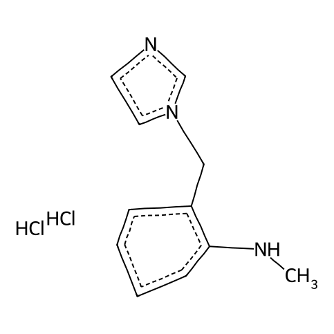 CNc1ccccc1Cn1ccnc1.Cl.Cl